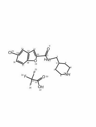 O=C(NCC1CCNCC1)c1cc2cc(Cl)ccc2o1.O=C(O)C(F)(F)F